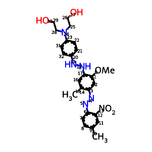 COc1cc(/N=N/c2ccc(C)cc2[N+](=O)[O-])c(C)cc1NNc1ccc(N(CCO)CCO)cc1